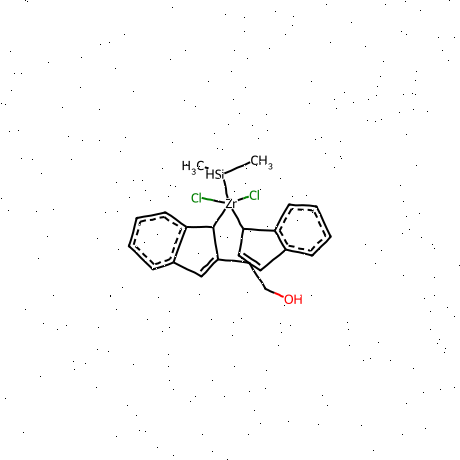 C[SiH](C)[Zr]([Cl])([Cl])([CH]1C=Cc2ccccc21)[CH]1C(CCO)=Cc2ccccc21